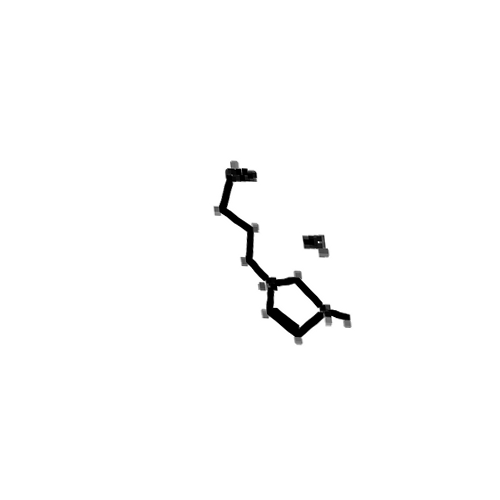 COCCCN1C=CN(C)C1.Cl